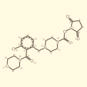 O=C(ON1C(=O)CCC1=O)N1CCN(Cc2cccc(Cl)c2C(=O)N2CCOCC2)CC1